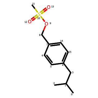 CC(C)Cc1ccc(COS(C)(=O)=O)cc1